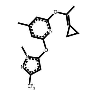 CC(Oc1cc(C)cc(Oc2cc(C(F)(F)F)nn2C)n1)=C1CC1